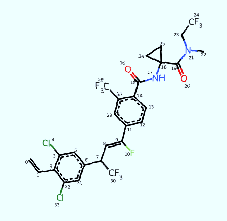 C=Cc1c(Cl)cc(C(C=C(F)c2ccc(C(=O)NC3(C(=O)N(C)CC(F)(F)F)CC3)c(C(F)(F)F)c2)C(F)(F)F)cc1Cl